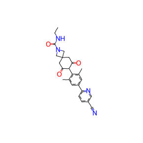 CCNC(=O)N1CC2(CC(=O)C(c3c(C)cc(-c4ccc(C#N)cn4)cc3C)C(=O)C2)C1